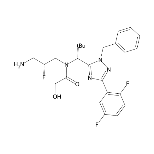 CC(C)(C)[C@H](c1nc(-c2cc(F)ccc2F)nn1Cc1ccccc1)N(C[C@H](F)CN)C(=O)CO